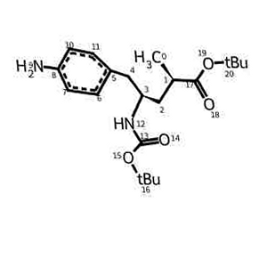 C[C@H](C[C@H](Cc1ccc(N)cc1)NC(=O)OC(C)(C)C)C(=O)OC(C)(C)C